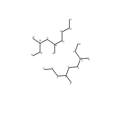 CCCC(C)CCN(C)CC.CCCCC(C)CN(C)CC